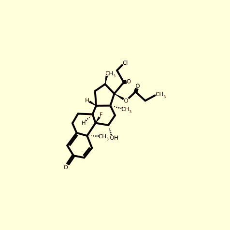 CCC(=O)O[C@]1(C(=O)CCl)[C@H](C)C[C@H]2[C@@H]3CCC4=CC(=O)C=C[C@]4(C)[C@@]3(F)[C@@H](O)C[C@@]21C